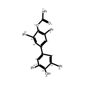 CCCC(=O)Oc1c(C(C)C)cc(-c2cc(C(C)C)c(O)c(C(C)C)c2)cc1C(C)C